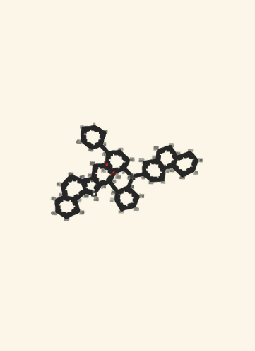 c1ccc(-c2ccc(N(c3ccc4c(ccc5ccccc54)c3)c3ccccc3-c3cccc4c3oc3c5ccccc5ccc43)cc2)cc1